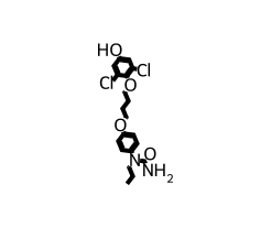 CCCN(C(N)=O)c1ccc(OCCCCOc2c(Cl)cc(O)cc2Cl)cc1